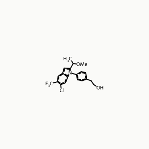 COC(C)c1cc2cc(C(F)(F)F)c(Cl)cc2n1-c1ccc(CCO)cc1